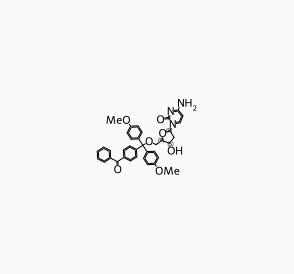 COc1ccc(C(OC[C@H]2O[C@@H](n3ccc(N)nc3=O)C[C@@H]2O)(c2ccc(OC)cc2)c2ccc(C(=O)c3ccccc3)cc2)cc1